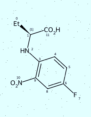 CC[C@H](Nc1ccc(F)cc1[N+](=O)[O-])C(=O)O